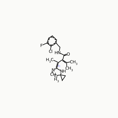 C=N/C(NC1(C)CC1)=C(\C)C(C(=O)NCc1cccc(F)c1Cl)=C(C)C